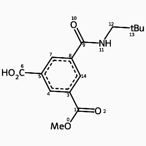 COC(=O)c1cc(C(=O)O)cc(C(=O)NCC(C)(C)C)c1